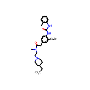 COc1cc(CC(=O)N(C)CCN2CCC(CC(=O)O)CC2)ccc1NC(=O)Nc1ccccc1C